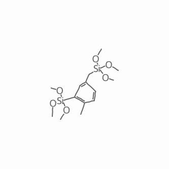 CO[Si](Cc1ccc(C)c([Si](OC)(OC)OC)c1)(OC)OC